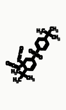 CC(C)(C)c1ccc(S(=O)(=O)C2=CC(N=C=O)(N=C=O)C(C(C)(C)C)C=C2)cc1